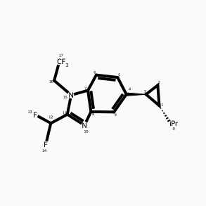 CC(C)[C@H]1C[C@@H]1c1ccc2c(c1)nc(C(F)F)n2CC(F)(F)F